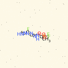 Cc1ccc(C(=O)NCc2cc3nc(-c4cc(F)cc(N5CCNC6(CC6)C5)n4)ccc3cn2)cc1S(=O)(=O)CCC(F)F